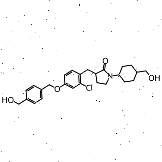 O=C1C(Cc2ccc(OCc3ccc(CO)cc3)cc2Cl)CCN1C1CCC(CO)CC1